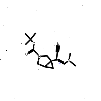 CN(C)/C=C(\C#N)C12CC1CN(C(=O)OC(C)(C)C)C2